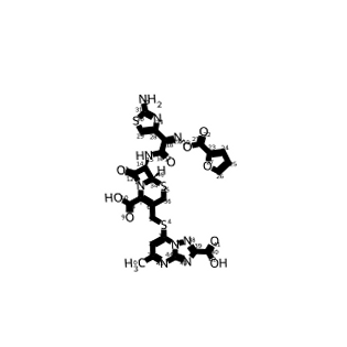 Cc1cc(SCC2=C(C(=O)O)N3C(=O)[C@@H](NC(=O)/C(=N\OC(=O)c4ccco4)c4csc(N)n4)[C@H]3SC2)n2nc(C(=O)O)nc2n1